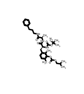 Cc1ccc(C[C@H](NC(=O)OC(C)(C)C)C(=O)N[C@H](C)C(=O)NCCCc2ccccc2)c(C)c1OC(=O)OCC(C)C